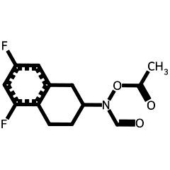 CC(=O)ON(C=O)C1CCc2c(F)cc(F)cc2C1